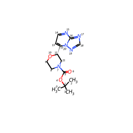 CC(C)(C)OC(=O)N1CCO[C@H](c2ccnc3ncnn23)C1